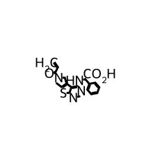 C=CC(=O)N1Cc2sc3ncnc(N[C@H](C(=O)O)c4ccccc4)c3c2C1